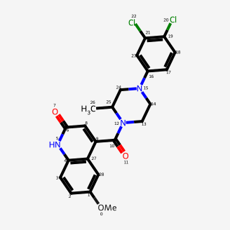 COc1ccc2[nH]c(=O)cc(C(=O)N3CCN(c4ccc(Cl)c(Cl)c4)CC3C)c2c1